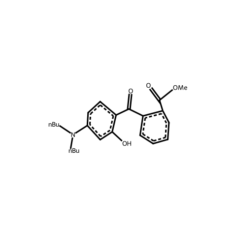 CCCCN(CCCC)c1ccc(C(=O)c2ccccc2C(=O)OC)c(O)c1